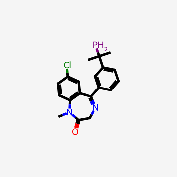 CN1C(=O)CN=C(c2cccc(C(C)(C)P)c2)c2cc(Cl)ccc21